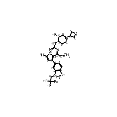 [2H]c1cc(-c2ccc3nnn(CC(F)(F)F)c3c2)c2c(OC)nc(N[C@@H]3CCN(C4COC4)C[C@H]3F)nn12